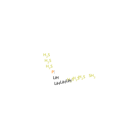 S.S.S.S.S.S.S.[LiH].[LiH].[LiH].[LiH].[P]